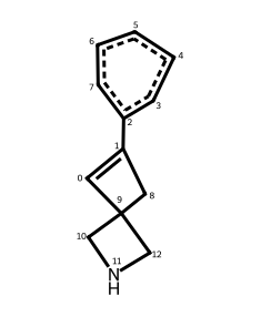 C1=C(c2ccccc2)CC12CNC2